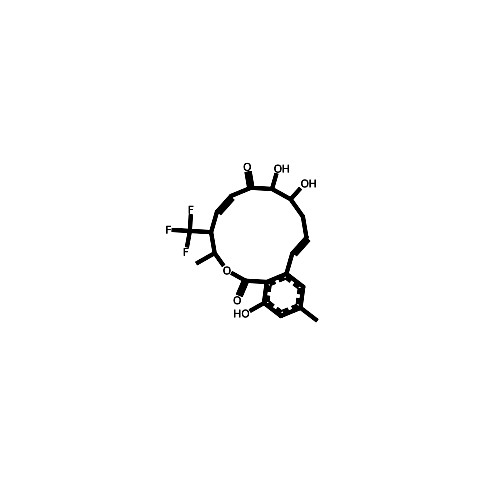 Cc1cc(O)c2c(c1)/C=C/CC(O)C(O)C(=O)/C=C\C(C(F)(F)F)C(C)OC2=O